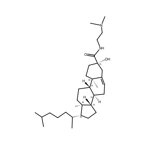 CC(C)CCCC(C)[C@H]1CC[C@H]2[C@@H]3CC=C4C[C@](O)(C(=O)NCCN(C)C)CC[C@]4(C)[C@H]3CC[C@]12C